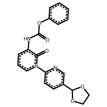 O=C(Nc1cccn(-c2ccc(C3OCCO3)cn2)c1=O)Oc1ccccc1